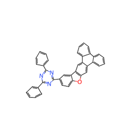 c1ccc(-c2nc(-c3ccccc3)nc(-c3ccc4oc5cc6c7ccccc7c7ccccc7c6cc5c4c3)n2)cc1